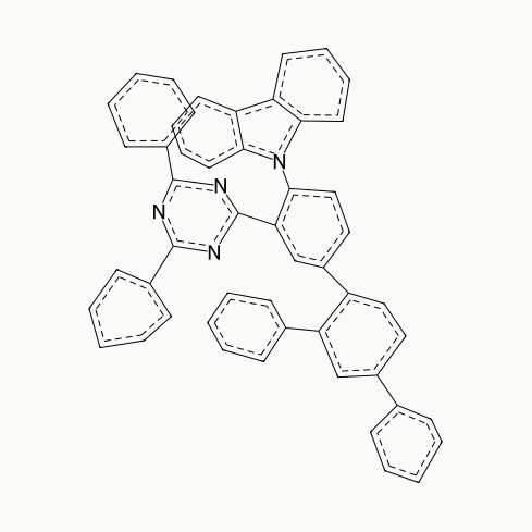 c1ccc(-c2ccc(-c3ccc(-n4c5ccccc5c5ccccc54)c(-c4nc(-c5ccccc5)nc(-c5ccccc5)n4)c3)c(-c3ccccc3)c2)cc1